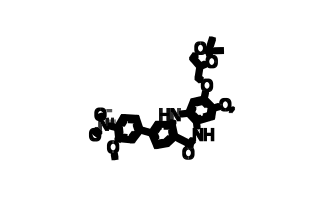 COc1cc2c(cc1OCC1COC(C)(C)O1)Nc1cc(-c3ccc([N+](=O)[O-])c(OC)c3)ccc1C(=O)N2